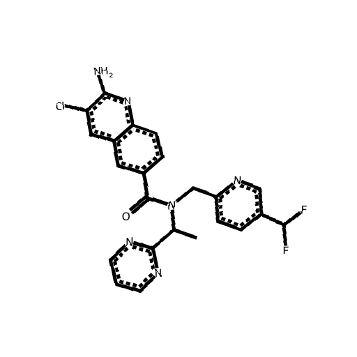 CC(c1ncccn1)N(Cc1ccc(C(F)F)cn1)C(=O)c1ccc2nc(N)c(Cl)cc2c1